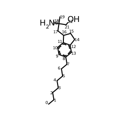 CCCCCCCCc1ccc2c(c1)CCC2CC(C)(N)CO